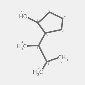 CC(C)C(C)C1CCCC1O